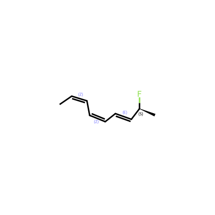 C\C=C/C=C\C=C\[C@H](C)F